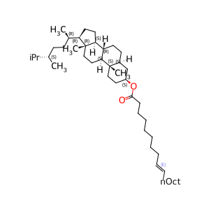 CCCCCCCC/C=C/CCCCCCCC(=O)O[C@H]1CC[C@@]2(C)[C@@H](CC[C@@H]3[C@@H]2CC[C@]2(C)[C@@H]([C@H](C)CC[C@H](C)C(C)C)CC[C@@H]32)C1